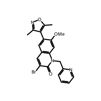 COc1cc2c(cc1-c1c(C)noc1C)cc(Br)c(=O)n2Cc1ccccn1